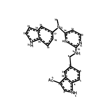 CC(=O)c1c[nH]c2ccc(CNc3nccc(N(C)c4ccc5[nH]ccc5c4)n3)cc12